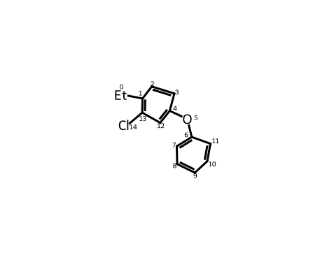 CCc1ccc(Oc2ccccc2)cc1Cl